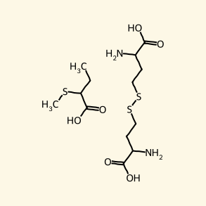 CCC(SC)C(=O)O.NC(CCSSCCC(N)C(=O)O)C(=O)O